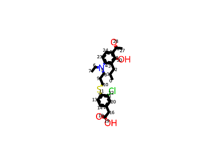 CCCc1c(N(CC)CCCSc2ccc(CC(=O)O)cc2Cl)ccc(C(C)=O)c1O